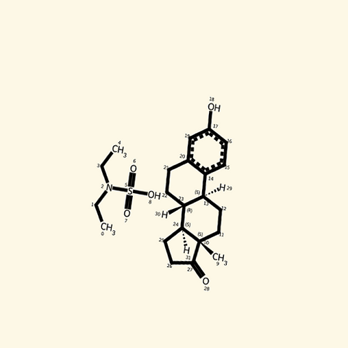 CCN(CC)S(=O)(=O)O.C[C@]12CC[C@@H]3c4ccc(O)cc4CC[C@H]3[C@@H]1CCC2=O